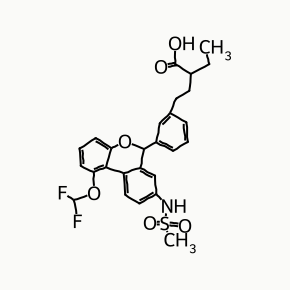 CCC(CCc1cccc(C2Oc3cccc(OC(F)F)c3-c3ccc(NS(C)(=O)=O)cc32)c1)C(=O)O